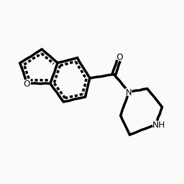 O=C(c1ccc2occc2c1)N1CCNCC1